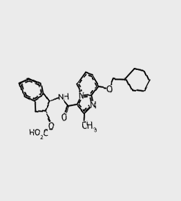 Cc1nc2c(OCC3CCCCC3)cccn2c1C(=O)N[C@@H]1c2ccccc2C[C@@H]1OC(=O)O